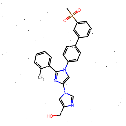 CS(=O)(=O)c1cccc(-c2ccc(-n3cc(-n4cnc(CO)c4)nc3-c3ccccc3C(F)(F)F)cc2)c1